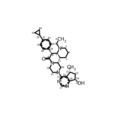 CCN1CCCC[C@H]1[C@@H](C(=O)N1CCN(c2ncnc3c2[C@H](C)C[C@H]3O)CC1)c1ccc(C2CC2)cc1